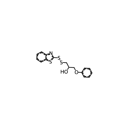 OC(COc1ccccc1)CSSc1nc2ccccc2s1